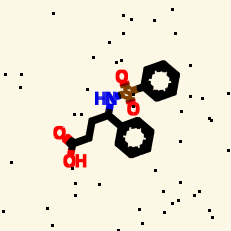 O=C(O)CCC(NS(=O)(=O)c1ccccc1)c1ccccc1